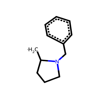 [CH2]C1CCCN1Cc1ccccc1